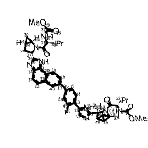 COC(=O)N[C@H](C(=O)N1[C@H](c2ncc(-c3ccc(-c4ccc5c(ccc6nc([C@@H]7C[C@H]8C[C@H]8N7C(=O)[C@@H](NC(=O)OC)C(C)C)[nH]c65)c4)cc3F)[nH]2)C2C3[C@H]2[C@@H]31)C(C)C